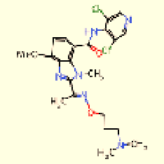 COc1ccc(C(=O)Nc2c(Cl)cncc2Cl)c2c1nc(C(C)=NOCCCN(C)C)n2C